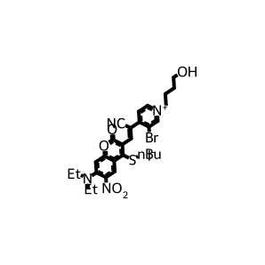 CCCCSc1c(C=C(C#N)c2cc[n+](CCCCO)cc2Br)c(=O)oc2cc(N(CC)CC)c([N+](=O)[O-])cc12.[I-]